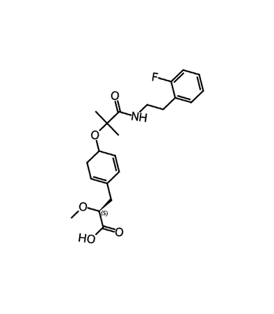 CO[C@@H](CC1=CCC(OC(C)(C)C(=O)NCCc2ccccc2F)C=C1)C(=O)O